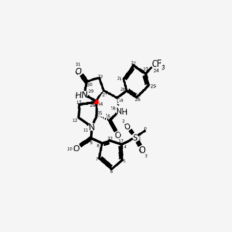 CS(=O)(=O)c1cccc(C(=O)N2CCC[C@@H]2C(=O)N[C@@H](c2ccc(C(F)(F)F)cc2)[C@H]2CNC(=O)C2)c1